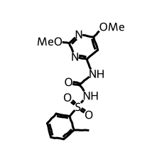 COc1cc(NC(=O)NS(=O)(=O)c2ccccc2C)nc(OC)n1